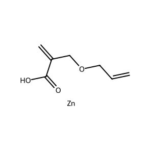 C=CCOCC(=C)C(=O)O.[Zn]